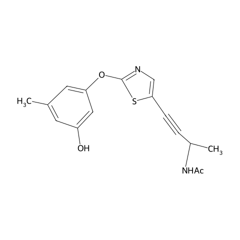 CC(=O)NC(C)C#Cc1cnc(Oc2cc(C)cc(O)c2)s1